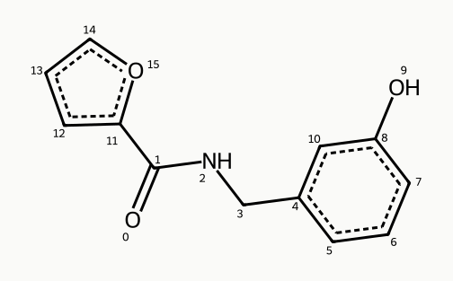 O=C(NCc1cccc(O)c1)c1ccco1